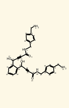 NCc1ccc(CNC(=O)C#CC(O)c2ccccc2C(O)C#CC(=O)NCc2ccc(CN)cc2)cc1